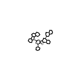 c1ccc(-c2nc(-n3c4ccccc4c4ccc5ccccc5c43)nc3c2oc2c4ccccc4c(-c4ccc5ccccc5c4)cc32)cc1